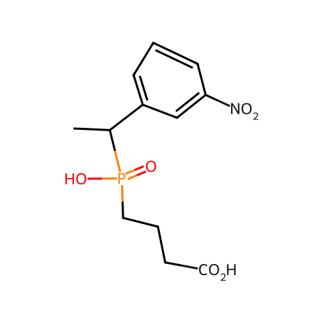 CC(c1cccc([N+](=O)[O-])c1)P(=O)(O)CCCC(=O)O